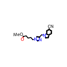 COC(=O)CCCCn1cnc(Cn2ccc3ccc(C#N)cc32)c1